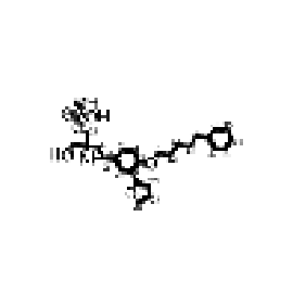 NC(CO)(CCc1ccc(OCCCCCc2ccccc2)c(-c2ccco2)c1)COP(=O)(O)O